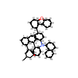 CC1C=C(c2cccc3cccc(-c4ccccc4N(c4ccc(-c5cccc6oc7ccccc7c56)cc4)c4cccc5ccccc45)c23)C=CC1